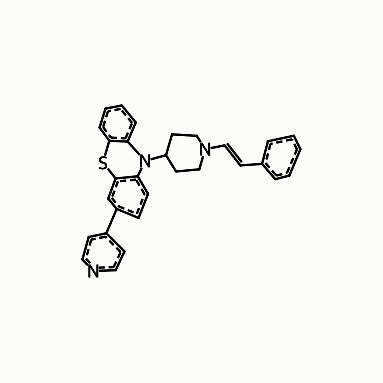 C(=CN1CCC(N2c3ccccc3Sc3cc(-c4ccncc4)ccc32)CC1)c1ccccc1